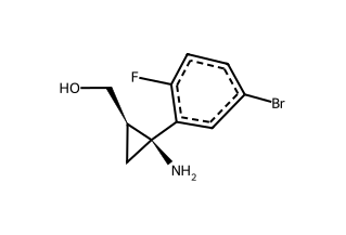 N[C@@]1(c2cc(Br)ccc2F)C[C@H]1CO